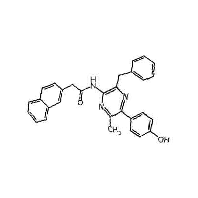 Cc1nc(NC(=O)Cc2ccc3ccccc3c2)c(Cc2ccccc2)nc1-c1ccc(O)cc1